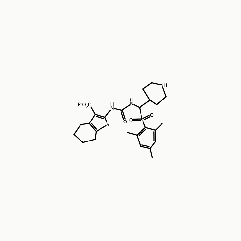 CCOC(=O)c1c(NC(=O)NC(C2CCNCC2)S(=O)(=O)c2c(C)cc(C)cc2C)sc2c1CCCC2